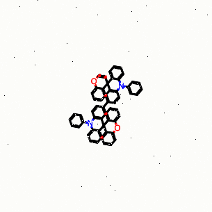 c1ccc(N2c3ccccc3C3(c4ccccc4Oc4ccccc43)c3cc(-c4ccc5c(c4)C4(c6ccccc6Oc6ccccc64)c4ccccc4N5c4ccccc4)ccc32)cc1